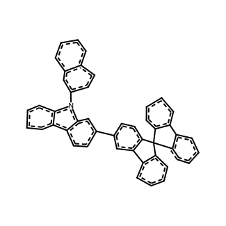 c1ccc2c(c1)-c1ccccc1C21c2ccccc2-c2cc(-c3ccc4c5ccccc5n(-c5ccc6ccccc6c5)c4c3)ccc21